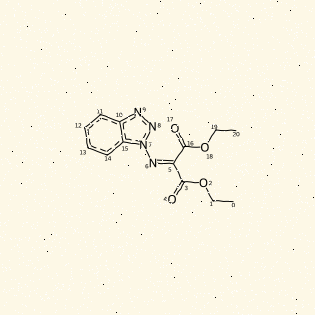 CCOC(=O)C(=Nn1nnc2ccccc21)C(=O)OCC